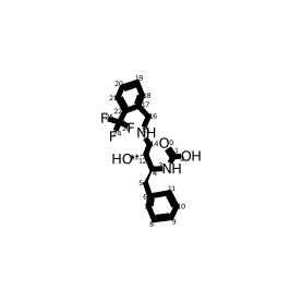 O=C(O)N[C@@H](Cc1ccccc1)[C@H](O)CNCc1ccccc1C(F)(F)F